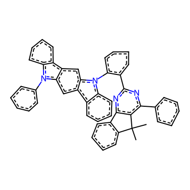 CC1(C)c2ccccc2-c2nc(-c3ccccc3-n3c4ccccc4c4cc5c(cc43)c3ccccc3n5-c3ccccc3)nc(-c3ccccc3)c21